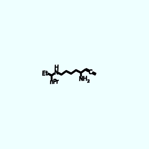 C=C=CC(N)CCCCNC(CC)CCC